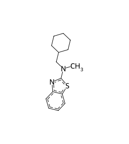 CN(CC1CCCCC1)c1nc2ccccc2s1